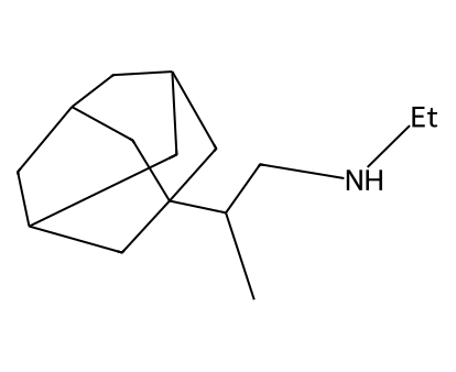 CCNCC(C)C12CC3CC(CC(C3)C1)C2